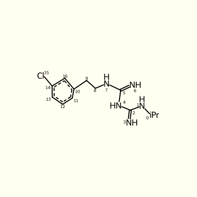 CC(C)NC(=N)NC(=N)NCCc1cccc(Cl)c1